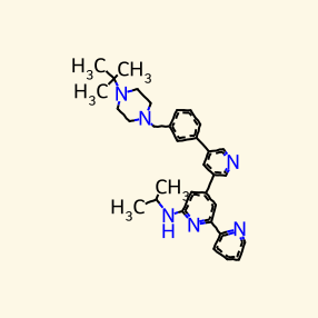 CC(C)Nc1cc(-c2cncc(-c3cccc(CN4CCN(C(C)(C)C)CC4)c3)c2)cc(-c2ccccn2)n1